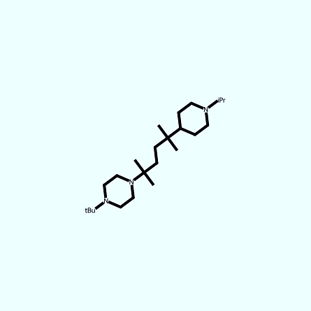 CC(C)N1CCC(C(C)(C)CCC(C)(C)N2CCN(C(C)(C)C)CC2)CC1